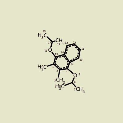 Cc1c(C)c(OC(C)C)c2ccccc2c1OC(C)C